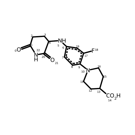 O=C1CCC(Nc2ccc(N3CCC(C(=O)O)CC3)c(F)c2)C(=O)N1